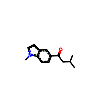 CC(C)CC(=O)c1ccc2c(ccn2C)c1